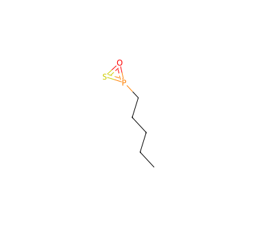 CCCCCp1os1